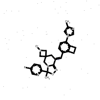 Cc1cn(-c2ccc(/C=C3\CC4(CN5C3=NOC5(C)c3ccc(F)cn3)C[S+]([O-])C4)c3c2CC3)cn1